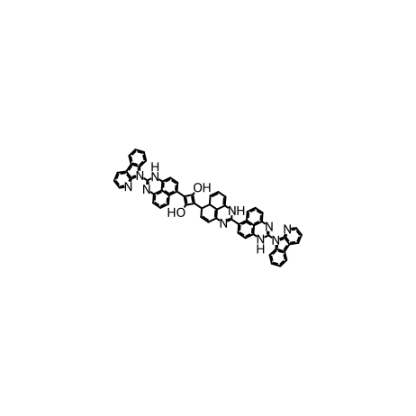 OC1=C(c2ccc3c4c(cccc24)N=C(n2c4ccccc4c4cccnc42)N3)C(O)=C1C1C=CC2=C3C(=CC=CC31)NC(c1ccc3c4c(cccc14)N=C(n1c4ccccc4c4cccnc41)N3)=N2